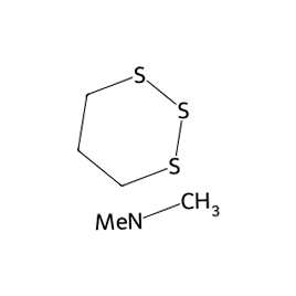 C1CSSSC1.CNC